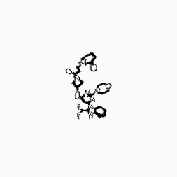 O=C1CCCN1CCC(=O)N1CC(Oc2cc(-n3c(C(F)F)nc4ccccc43)nc(N3CCOCC3)n2)C1